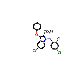 O=C(O)c1c(Oc2ccccc2)c2cc(Cl)ccc2n1Cc1ccc(Cl)cc1Cl